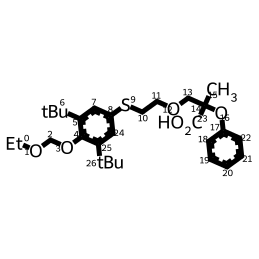 CCOCOc1c(C(C)(C)C)cc(SCCOCC(C)(Oc2ccccc2)C(=O)O)cc1C(C)(C)C